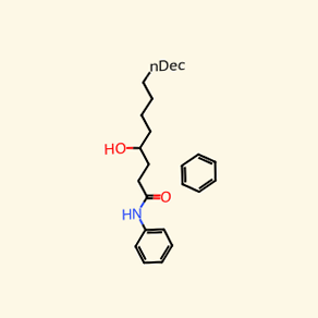 CCCCCCCCCCCCCCC(O)CCC(=O)Nc1ccccc1.c1ccccc1